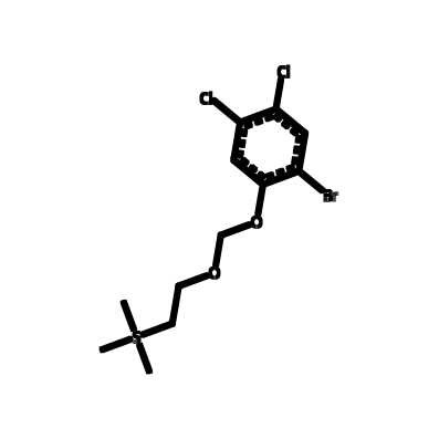 CS(C)(C)CCOCOc1cc(Cl)c(Cl)cc1Br